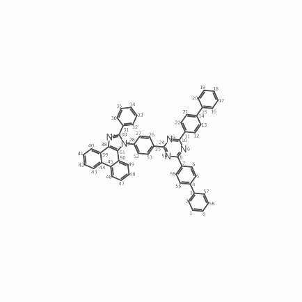 c1ccc(-c2ccc(-c3nc(-c4ccc(-c5ccccc5)cc4)nc(-c4ccc(-n5c(-c6ccccc6)nc6c7ccccc7c7ccccc7c65)cc4)n3)cc2)cc1